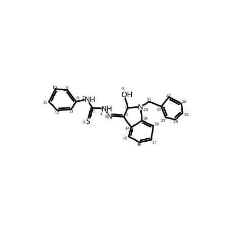 OC1/C(=N\NC(=S)Nc2ccccc2)c2ccccc2N1Cc1ccccc1